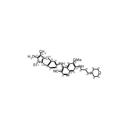 CCn1c(Sc2ccc(Nc3c(C#N)cnc4cc(NCCCN5CCOCC5)c(OC)cc34)cc2Cl)nc(C)c1C